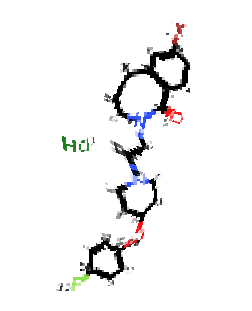 Cl.O=C1c2ccc(Br)cc2CCCN1CCN1CCC(Oc2ccc(F)cc2)CC1